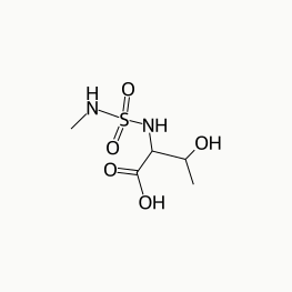 CNS(=O)(=O)NC(C(=O)O)C(C)O